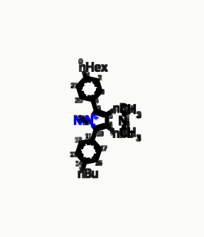 CCCCCCc1ccc(C2=C(CCCC)C(CCCC)=C(c3ccc(CCCC)cc3)[N+]2=[N-])cc1.[CH3][Ni][CH3]